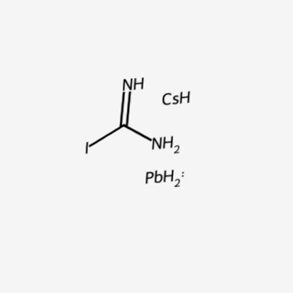 N=C(N)I.[CsH].[PbH2]